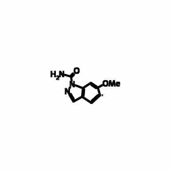 COc1[c]cc2cnn(C(N)=O)c2c1